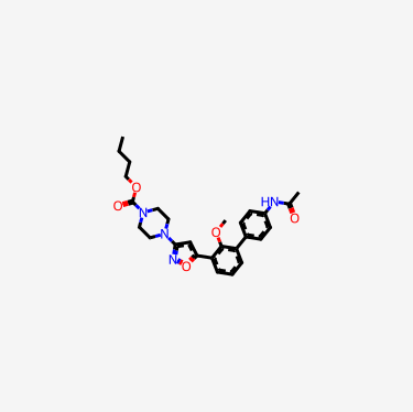 CCCCOC(=O)N1CCN(c2cc(-c3cccc(-c4ccc(NC(C)=O)cc4)c3OC)on2)CC1